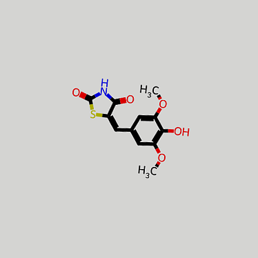 COc1cc(/C=C2/SC(=O)NC2=O)cc(OC)c1O